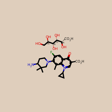 Cc1c(N2CCC(N)C(C)(C)C2)c(F)cc2c(=O)c(C(=O)O)cn(C3CC3)c12.O=C(O)[C@H](O)[C@@H](O)[C@H](O)[C@H](O)CO